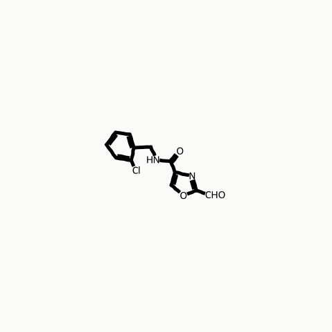 O=Cc1nc(C(=O)NCc2ccccc2Cl)co1